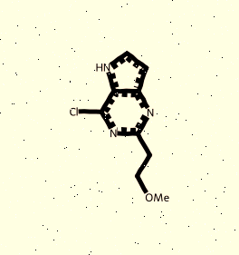 COCCc1nc(Cl)c2[nH]ccc2n1